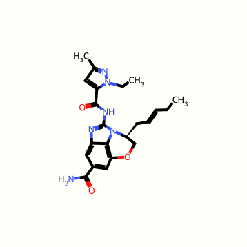 CCC=CC[C@H]1COc2cc(C(N)=O)cc3nc(NC(=O)c4cc(C)nn4CC)n1c23